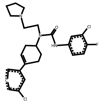 O=C(Nc1ccc(F)c(Cl)c1)N(CCN1CCCC1)C1CC=C(c2cccc(Cl)c2)CC1